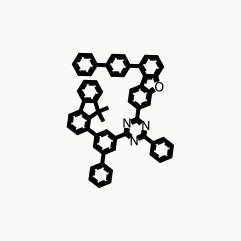 CC1(C)c2ccccc2-c2cccc(-c3cc(-c4ccccc4)cc(-c4nc(-c5ccccc5)nc(-c5ccc6c(c5)oc5cccc(-c7ccc(-c8ccccc8)cc7)c56)n4)c3)c21